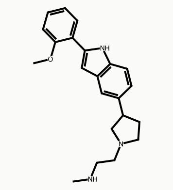 CNCCN1CCC(c2ccc3[nH]c(-c4ccccc4OC)cc3c2)C1